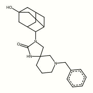 O=C1NC2(CCCN(Cc3ccccc3)C2)CN1C1C2CC3CC1CC(O)(C3)C2